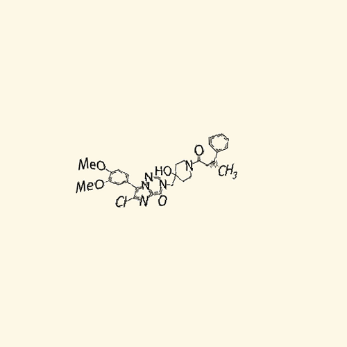 COc1ccc(-c2c(Cl)nc3c(=O)n(CC4(O)CCN(C(=O)C[C@@H](C)c5ccccc5)CC4)cnn23)cc1OC